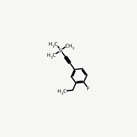 CCc1cc(C#C[Si](C)(C)C)ccc1F